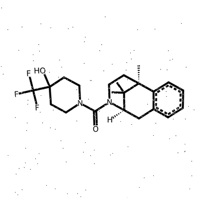 CC1(C)[C@H]2Cc3ccccc3[C@]1(C)CCN2C(=O)N1CCC(O)(C(F)(F)F)CC1